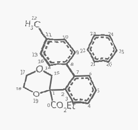 CCOC(=O)C1(c2ccccc2-c2ccc(C)cc2)COCCO1.[c]1ccccc1